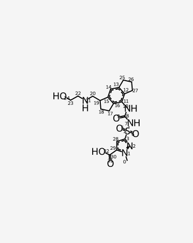 Cn1nc(S(=O)(=O)NC(=O)Nc2c3c(cc4c2CCC4CNCCO)CCC3)cc1C(=O)O